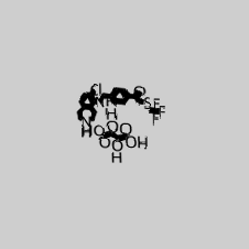 O=C(CSCC(F)(F)F)c1ccc(CNc2c(Cl)ccc3c2CCNCC3)cc1.O=C(O)C(O)C(O)C(=O)O